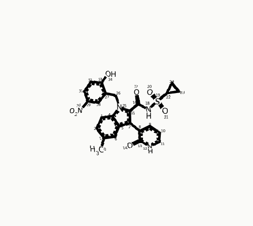 Cc1ccc2c(c1)c(-c1ccc[nH]c1=O)c(C(=O)NS(=O)(=O)C1CC1)n2Cc1cc([N+](=O)[O-])ccc1O